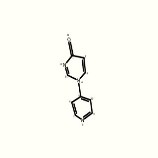 O=c1ccn(-c2ccncc2)cn1